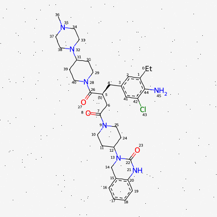 CCc1cc(C[C@@H](CC(=O)N2CCC(N3Cc4ccccc4NC3=O)CC2)C(=O)N2CCC(N3CCN(C)CC3)CC2)cc(Cl)c1N